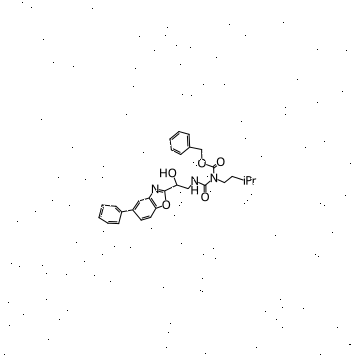 CC(C)CCN(C(=O)NCC(O)c1nc2cc(-c3ccccc3)ccc2o1)C(=O)OCc1ccccc1